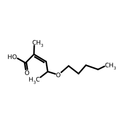 CCCCCOC(C)C=C(C)C(=O)O